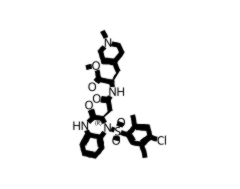 COC(=O)[C@@H](CC1=CCN(C)CC1)NC(=O)C[C@@H]1C(=O)Nc2ccccc2N1S(=O)(=O)c1cc(C)c(Cl)cc1C